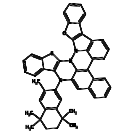 Cc1cc2c(cc1N1c3cc4ccccc4c4c3B(c3sc5ccccc5c31)n1c3oc5ccccc5c3c3cccc-4c31)C(C)(C)CCC2(C)C